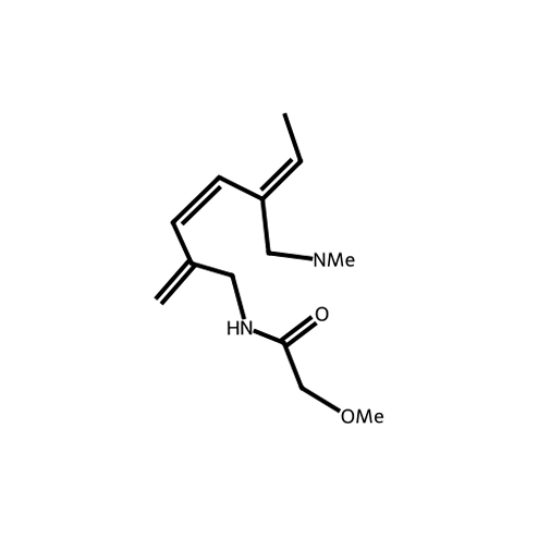 C=C(/C=C\C(=C/C)CNC)CNC(=O)COC